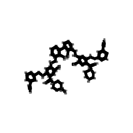 N#Cc1cncc(COc2cc(OCc3cccc(-c4cccc(COc5cc(OCc6cncc(C#N)c6)c(C(=O)N6CC[S+]([O-])CC6)cc5Cl)c4Cl)c3Cl)c(Cl)cc2C(=O)N2CCSCC2)c1